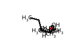 CCCCCCCC/C=C\CCCCCCCC(=O)N(C)CCNC(=O)CC[C@@H](C)C1CC[C@H]2[C@@H]3[C@H](O)[C@H](CC)[C@@H]4C[C@H](O)CC[C@]4(C)[C@H]3CC[C@]12C